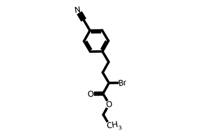 CCOC(=O)C(Br)CCc1ccc(C#N)cc1